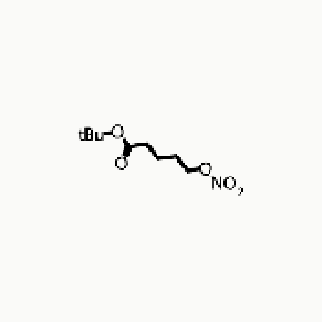 CC(C)(C)OC(=O)CCCCO[N+](=O)[O-]